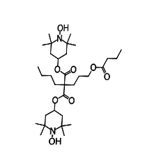 CCCCC(CCCOC(=O)CCC)(C(=O)OC1CC(C)(C)N(O)C(C)(C)C1)C(=O)OC1CC(C)(C)N(O)C(C)(C)C1